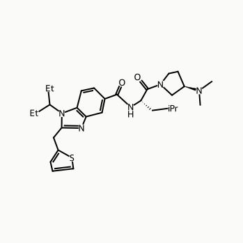 CCC(CC)n1c(Cc2cccs2)nc2cc(C(=O)N[C@@H](CC(C)C)C(=O)N3CC[C@@H](N(C)C)C3)ccc21